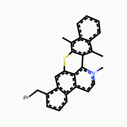 Cc1c2c(c(C)c3ccccc13)-c1c3c(cc4c(CC(C)C)cccc4c3cc[n+]1C)S2